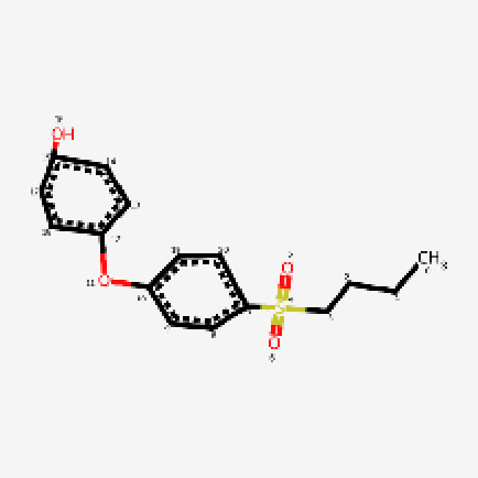 CCCCS(=O)(=O)c1ccc(Oc2ccc(O)cc2)cc1